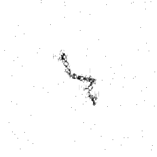 CC(NC(=O)c1noc(C(C)(C)C)n1)c1ccc(-c2ncnc3[nH]c(-c4ccc(N5CCN(CC6CCN(c7ccc(N8CCC(=O)NC8=O)cc7)CC6)CC5)cn4)cc23)cc1CO